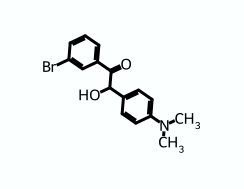 CN(C)c1ccc(C(O)C(=O)c2cccc(Br)c2)cc1